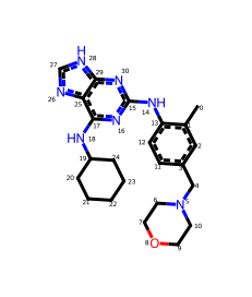 Cc1cc(CN2CCOCC2)ccc1Nc1nc(NC2CCCCC2)c2nc[nH]c2n1